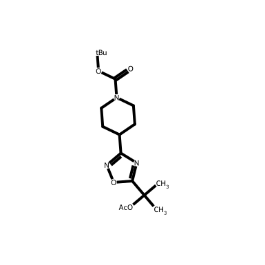 CC(=O)OC(C)(C)c1nc(C2CCN(C(=O)OC(C)(C)C)CC2)no1